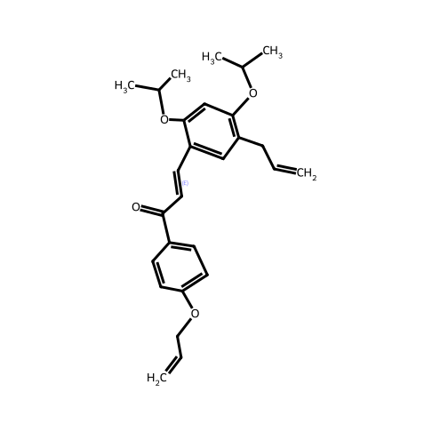 C=CCOc1ccc(C(=O)/C=C/c2cc(CC=C)c(OC(C)C)cc2OC(C)C)cc1